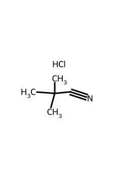 CC(C)(C)C#N.Cl